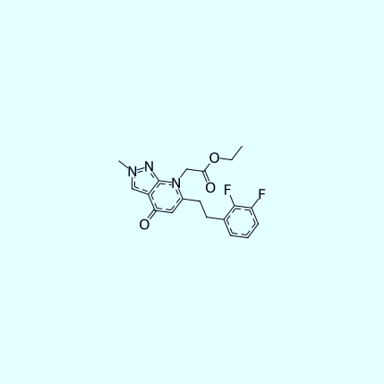 CCOC(=O)Cn1c(CCc2cccc(F)c2F)cc(=O)c2cn(C)nc21